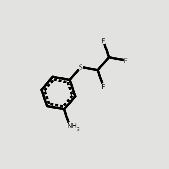 Nc1cccc(SC(F)C(F)F)c1